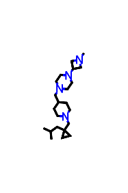 CC(C)CC1(CN2CCC(CN3CCN(C4CN(C)C4)CC3)CC2)CC1